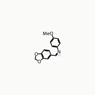 COc1ccc(/N=C\c2ccc3c(c2)OCO3)cc1